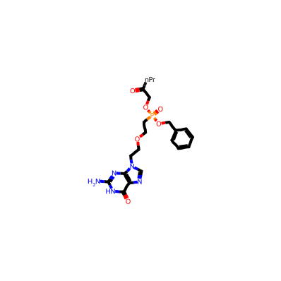 CCCC(=O)COP(=O)(CCOCCn1cnc2c(=O)[nH]c(N)nc21)OCc1ccccc1